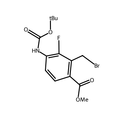 COC(=O)c1ccc(NC(=O)OC(C)(C)C)c(F)c1CBr